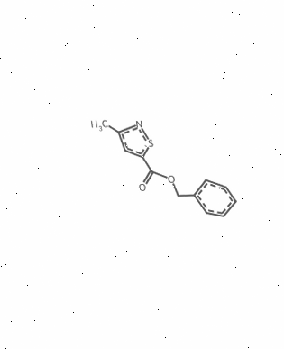 Cc1cc(C(=O)OCc2ccccc2)sn1